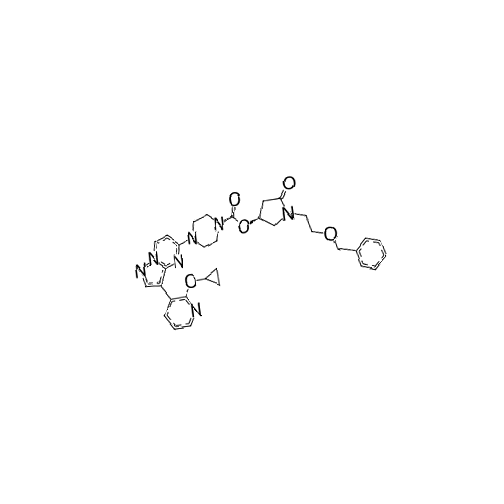 O=C1C[C@H](OC(=O)N2CCN(c3ccn4ncc(-c5cccnc5OC5CC5)c4n3)CC2)CN1CCOCc1ccccc1